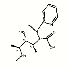 CN[C@@H](C)[C@H](O)[C@H](C)C(C(=O)O)N(C)c1ccccn1